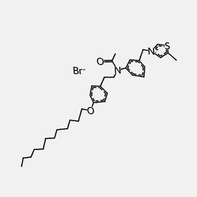 CCCCCCCCCCCCOc1ccc(CCN(C(C)=O)c2cccc(C[n+]3csc(C)c3)c2)cc1.[Br-]